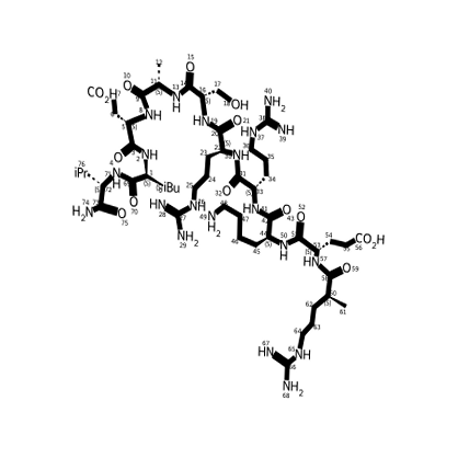 CC[C@H](C)[C@H](NC(=O)[C@H](CC(=O)O)NC(=O)[C@H](C)NC(=O)[C@H](CO)NC(=O)[C@H](CCCNC(=N)N)NC(=O)[C@H](CCCNC(=N)N)NC(=O)[C@H](CCCCN)NC(=O)[C@H](CCC(=O)O)NC(=O)[C@@H](C)CCCNC(=N)N)C(=O)N[C@H](C(N)=O)C(C)C